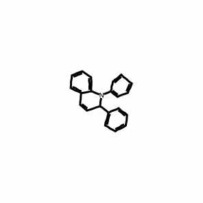 C1=CC(c2ccccc2)N(c2ccccc2)c2ccccc21